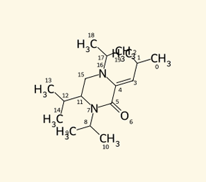 CC(C)/C=C1/C(=O)N(C(C)C)C(C(C)C)CN1C(C)C